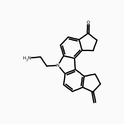 C=C1CCc2c1ccc1c2c2c3c(ccc2n1CCN)C(=O)CC3